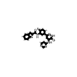 O=C(Nc1cc(-c2cc(Nc3ccncn3)c(=O)[nH]n2)ccc1F)c1cc2ccccc2s1